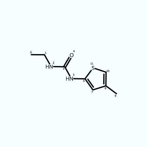 CCNC(=O)Nc1cc(C)cs1